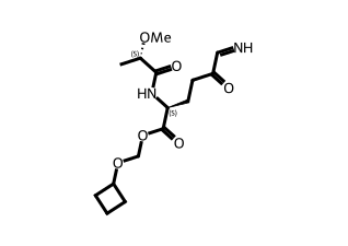 CO[C@@H](C)C(=O)N[C@@H](CCC(=O)C=N)C(=O)OCOC1CCC1